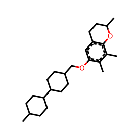 Cc1c(OCC2CCC(C3CCC(C)CC3)CC2)cc2c(c1C)OC(C)CC2